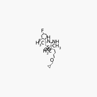 C=C(/C=C\C=C\OCC1CC1)[C@@]1(C)C(=N)N[C@](C)(c2ccc(F)cc2F)CS1(=O)=O